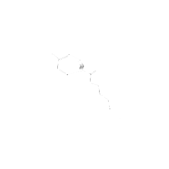 O=C(O)CCCCC(=O)c1ccc(Cl)cc1